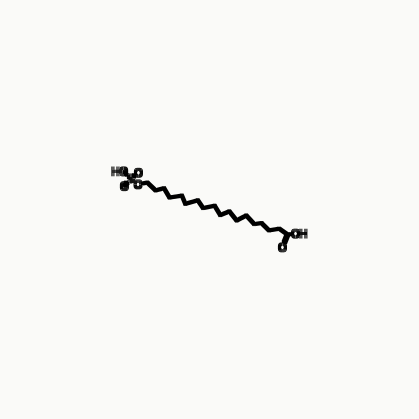 O=C(O)CCCCCCCCCCCCCCCCCOS(=O)(=O)O